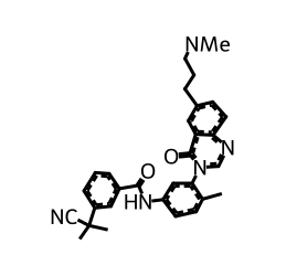 CNCCCc1ccc2ncn(-c3cc(NC(=O)c4cccc(C(C)(C)C#N)c4)ccc3C)c(=O)c2c1